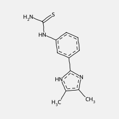 Cc1nc(-c2cccc(NC(N)=S)c2)[nH]c1C